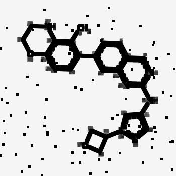 Cc1c(-c2ccc3cnc(Nc4cnn(C5COC5)c4)nc3c2)cnc2c1NCCO2